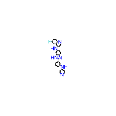 FC1CCc2nccc(Nc3ccc4nc(-c5cccc(Nc6ccncc6)c5)[nH]c4c3)c2C1